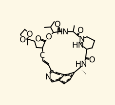 CC1NC(=O)C(C(C)C)OC(=O)C(CCC2(C)OCCO2)C/C=C/c2cc3cc(ccc3cn2)[C@@H](C)NC(=O)C2CCCN(N2)C1=O